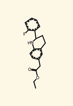 CCOC(=O)Cc1ccc2c(c1)CCC(c1ccccc1F)N2